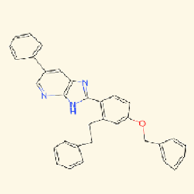 c1ccc(CCc2cc(OCc3ccccc3)ccc2-c2nc3cc(-c4ccccc4)cnc3[nH]2)cc1